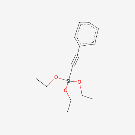 CCO[Si](C#Cc1ccccc1)(OCC)OCC